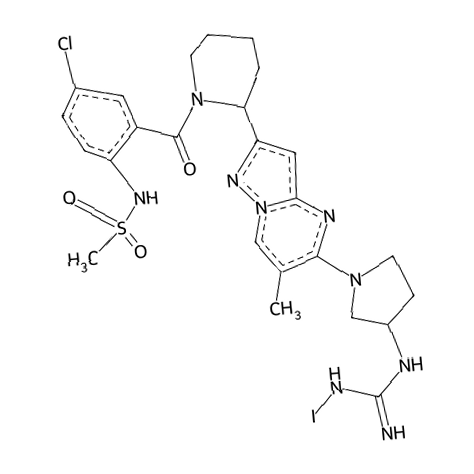 Cc1cn2nc(C3CCCCN3C(=O)c3cc(Cl)ccc3NS(C)(=O)=O)cc2nc1N1CCC(NC(=N)NI)C1